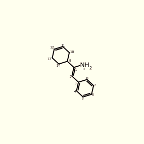 NC(=Cc1ccccc1)C1CC=CCC1